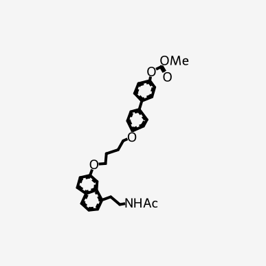 COC(=O)Oc1ccc(-c2ccc(OCCCCOc3ccc4cccc(CCNC(C)=O)c4c3)cc2)cc1